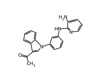 CC(=O)c1cn(-c2cccc(Nc3ncccc3N)c2)c2ccccc12